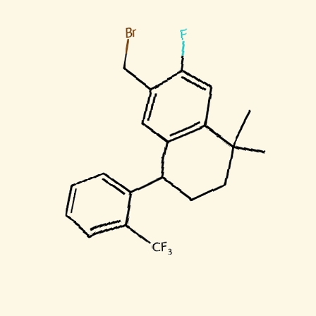 CC1(C)CCC(c2ccccc2C(F)(F)F)c2cc(CBr)c(F)cc21